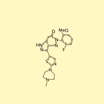 COc1cccc(F)c1-n1nc2c(-c3cnc(N4CCN(C)CC4)s3)n[nH]c2cc1=O